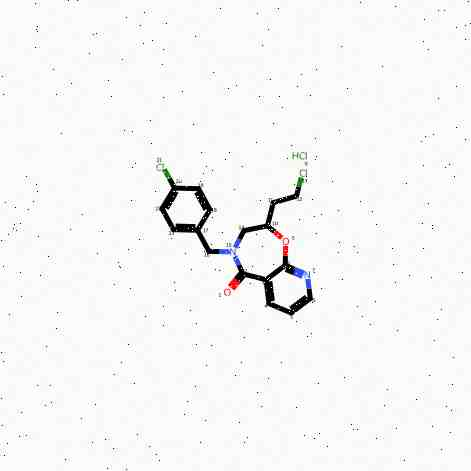 Cl.O=C1c2cccnc2OC(CCCl)CN1Cc1ccc(Cl)cc1